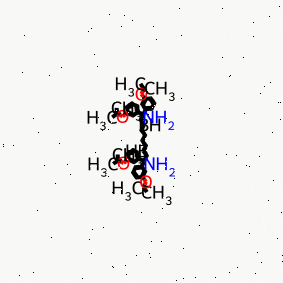 CC(C)Oc1cccc(C(N)(CBCCCCBCC(N)(c2cccc(OC(C)C)c2)c2cccc(OC(C)C)c2)c2cccc(OC(C)C)c2)c1